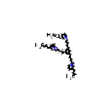 CCCCc1ccc[n+](CCCCCc2cc(CCCCC[n+]3cccc(CCCC)c3)cc(CCCCC[n+]3cccc(CCCC)c3)c2)c1